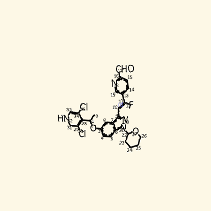 CC(Oc1ccc2c(c1)c(/C=C(\F)c1ccc(C=O)nc1)nn2C1CCCCO1)C1=C(Cl)CNC=C1Cl